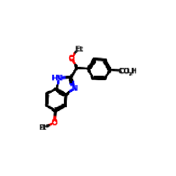 CCOc1ccc2[nH]c(C(OCC)c3ccc(C(=O)O)cc3)nc2c1